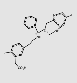 Cc1ccc(CCN[C@H](c2ccccc2)[C@H]2CNc3cc(F)cnc3C2)cc1CC(=O)O